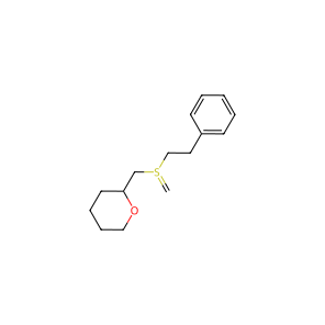 C=S(CCc1ccccc1)CC1CCCCO1